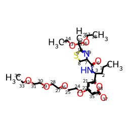 CCCC(NC(=O)C1CSC(C(C)(OCC)OCC)=N1)c1cc(OCCOCCOCCOCC)cc(=O)o1